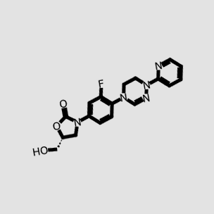 O=C1O[C@@H](CO)CN1c1ccc(N2C=NN(c3ccccn3)CC2)c(F)c1